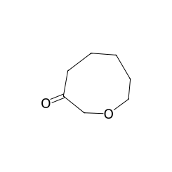 O=C1CCCCCOC1